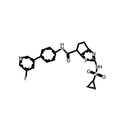 O=C(Nc1ccc(-c2cncc(F)c2)cc1)C1CCc2nc(NS(=O)(=O)C3CC3)sc21